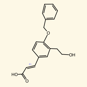 O=C(O)/C=C/c1ccc(OCc2ccccc2)c(CCO)c1